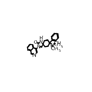 CN(C)C1(c2ccccc2)CCC2(CC1)CN(c1cncc3ccccc13)C(=O)N2